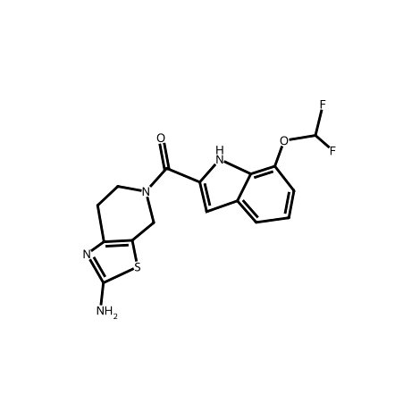 Nc1nc2c(s1)CN(C(=O)c1cc3cccc(OC(F)F)c3[nH]1)CC2